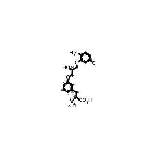 Cc1ccc(Cl)cc1OCC(O)COc1cccc(CC(OC(C)C)C(=O)O)c1